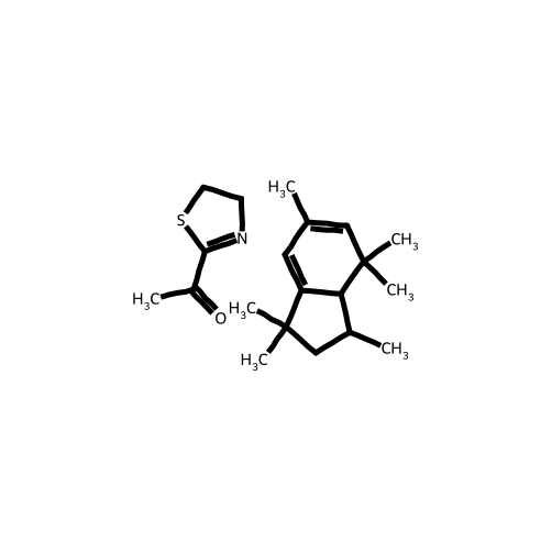 CC(=O)C1=NCCS1.CC1=CC(C)(C)C2C(=C1)C(C)(C)CC2C